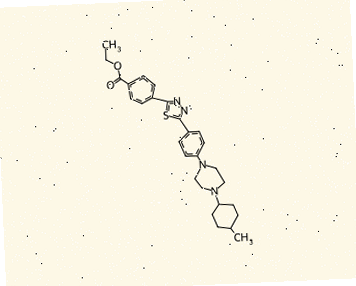 CCOC(=O)c1ccc(-c2nnc(-c3ccc(N4CCN(C5CCC(C)CC5)CC4)cc3)s2)cc1